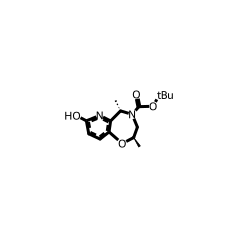 C[C@@H]1CN(C(=O)OC(C)(C)C)[C@@H](C)c2nc(O)ccc2O1